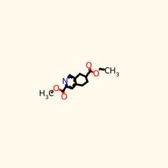 CCOC(=O)C1CCc2cc(C(=O)OC)ncc2C1